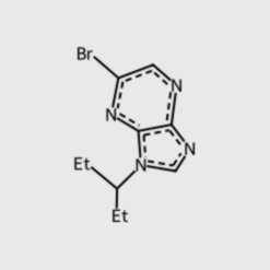 CCC(CC)n1cnc2ncc(Br)nc21